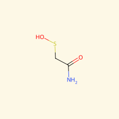 NC(=O)CSO